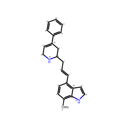 COc1ccc(C=CCC2CC(c3ccccc3)=CCN2)c2cc[nH]c12